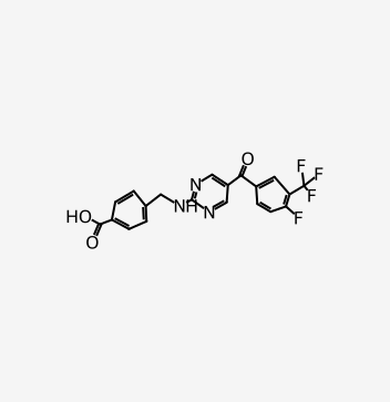 O=C(O)c1ccc(CNc2ncc(C(=O)c3ccc(F)c(C(F)(F)F)c3)cn2)cc1